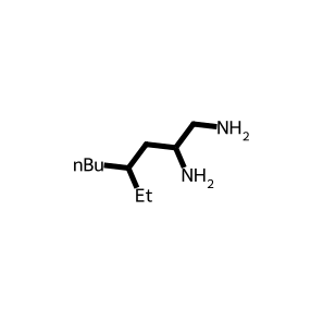 CCCCC(CC)CC(N)CN